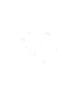 COC(=O)C1=C(CF)NC2=C(C(=O)OC2)C1c1cccc(F)c1C(C)F